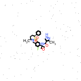 Cc1n[nH]cc1C(=O)NC1(c2cc(F)c(CN3[C@H](C)CC[C@@H](c4ccccc4)S3(=O)=O)cc2F)COC1